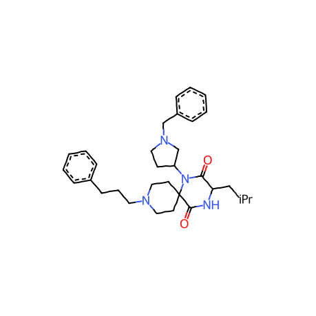 CC(C)CC1NC(=O)C2(CCN(CCCc3ccccc3)CC2)N(C2CCN(Cc3ccccc3)C2)C1=O